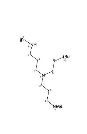 CNCCCN(CCCNC(C)C)CCC(C)(C)C